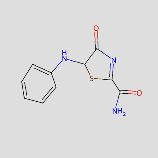 NC(=O)C1=NC(=O)C(Nc2ccccc2)S1